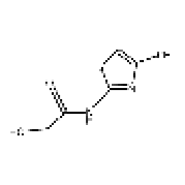 Cc1csc(NC(=O)CO)n1